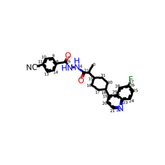 CC(C(=O)NNC(=O)c1ccc(C#N)cc1)C1CCC(c2ccnc3ccc(F)cc23)CC1